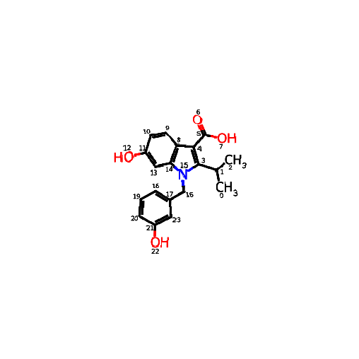 CC(C)c1c(C(=O)O)c2ccc(O)cc2n1Cc1cccc(O)c1